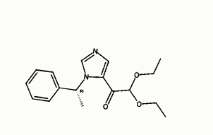 CCOC(OCC)C(=O)c1cncn1[C@H](C)c1ccccc1